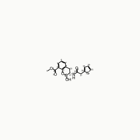 COC(=O)c1cccc2c1OB(O)[C@@H](NC(=O)Cc1cccs1)C2